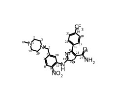 CN1CCN(Cc2ccc([N+](=O)[O-])c(Nc3nc(-c4ccc(C(F)(F)F)cc4)c(C(N)=O)s3)c2)CC1